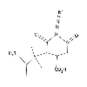 CC([SiH3])C(C)(C)C1C(=O)C(=[N+]=[N-])C(=O)CC1C(=O)O